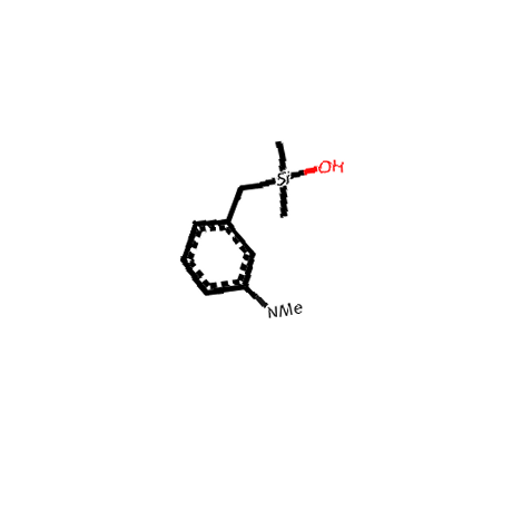 CNc1cccc(C[Si](C)(C)O)c1